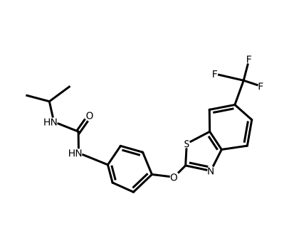 CC(C)NC(=O)Nc1ccc(Oc2nc3ccc(C(F)(F)F)cc3s2)cc1